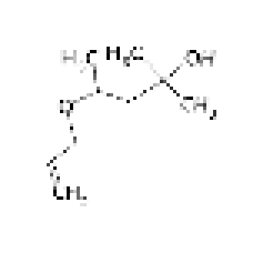 C=CCOC(C)CC(C)(C)O